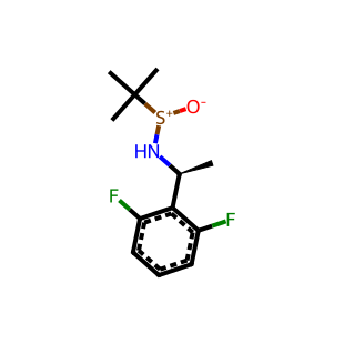 C[C@H](N[S+]([O-])C(C)(C)C)c1c(F)cccc1F